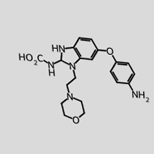 Nc1ccc(Oc2ccc3c(c2)N(CCN2CCOCC2)C(NC(=O)O)N3)cc1